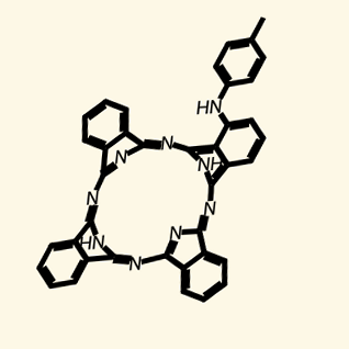 Cc1ccc(Nc2cccc3c4nc5nc(nc6[nH]c(nc7nc(nc([nH]4)c23)-c2ccccc2-7)c2ccccc62)-c2ccccc2-5)cc1